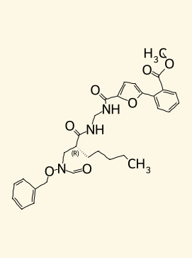 CCCCC[C@H](CN(C=O)OCc1ccccc1)C(=O)NCNC(=O)c1ccc(-c2ccccc2C(=O)OC)o1